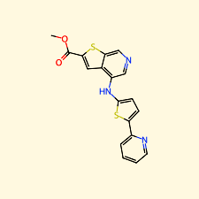 COC(=O)c1cc2c(Nc3ccc(-c4ccccn4)s3)cncc2s1